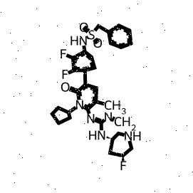 C=N/C(=N\c1c(C)cc(-c2ccc(NS(=O)(=O)Cc3ccccc3)c(F)c2F)c(=O)n1C1CCCC1)N[C@@H]1CNC[C@@H](F)C1